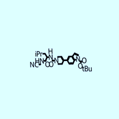 CC(C)CC(NC(=O)N1CC=C(c2ccc3c(ccn3C(=O)OC(C)(C)C)c2)CC1)C(=O)NCC#N